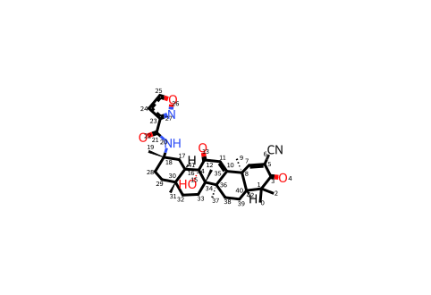 CC1(C)C(=O)C(C#N)=C[C@]2(C)C3=CC(=O)[C@]4(O)[C@@H]5C[C@@](C)(NC(=O)c6ccon6)CC[C@@]5(C)CC[C@@]4(C)[C@]3(C)CC[C@@H]12